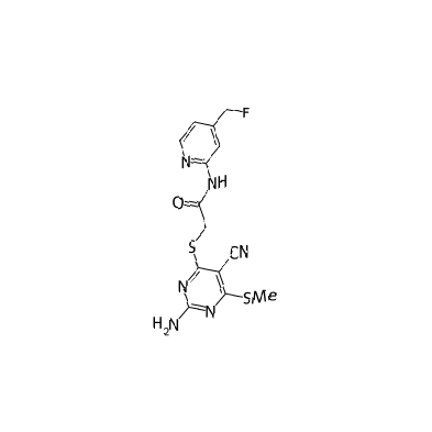 CSc1nc(N)nc(SCC(=O)Nc2cc(CF)ccn2)c1C#N